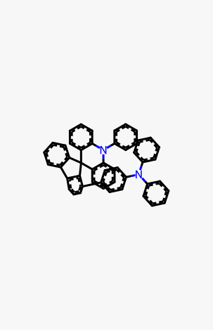 c1ccc(N(c2ccccc2)c2ccc(-c3cccc4c3C3(c5ccccc5-4)c4ccccc4N(c4ccccc4)c4ccccc43)cc2)cc1